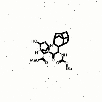 COC(=O)[C@@H]1[C@@H]2C[C@@H](CC2O)N1C(=O)[C@@H](NC(=O)OC(C)(C)C)C12CC3CC4CC(C1)C4(C3)C2